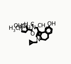 CC(C1C=C2C3CCc4ccc(O)cc4C21CCN3CC1CC1)N(C)C(=O)C(/C=C\N(C)C)=C/C=O